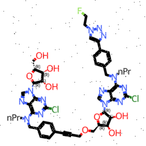 CCCN(Cc1ccc(C#CCOC[C@H]2O[C@@H](n3cnc4c(N(CCC)Cc5ccc(-c6cn(CCF)nn6)cc5)nc(Cl)nc43)[C@@H](O)[C@H]2O)cc1)c1nc(Cl)nc2c1ncn2[C@@H]1O[C@H](CO)[C@H](O)[C@@H]1O